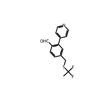 CC(F)(F)SCc1ccc(C=O)c(-c2ccncc2)c1